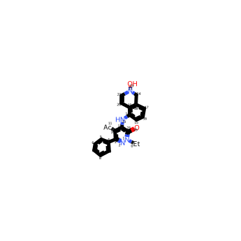 CCn1nc(-c2ccccc2)c(C(C)=O)c(Nc2cccc3c2C=CN(O)C3)c1=O